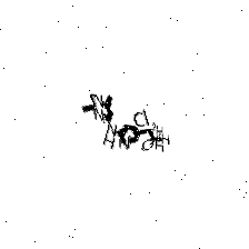 [2H]C([2H])([2H])C(=O)Cc1cnc(Nc2cc(C)nc(C)n2)cc1Cl